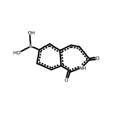 O=c1ccc2cc(B(O)O)ccc2c(=O)[nH]1